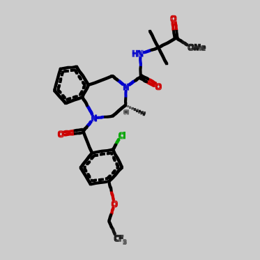 COC(=O)C(C)(C)NC(=O)N1Cc2ccccc2N(C(=O)c2ccc(OCC(F)(F)F)cc2Cl)C[C@H]1C